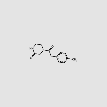 Cc1ccc(CC(=O)N2CCNC(=O)C2)cc1